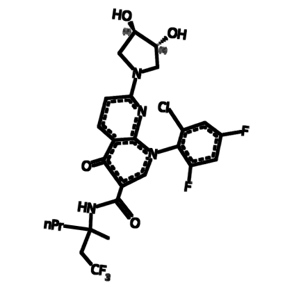 CCCC(C)(CC(F)(F)F)NC(=O)c1cn(-c2c(F)cc(F)cc2Cl)c2nc(N3C[C@@H](O)[C@H](O)C3)ccc2c1=O